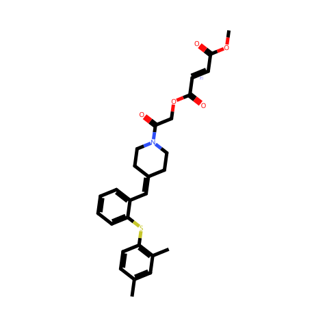 COC(=O)/C=C/C(=O)OCC(=O)N1CCC(=Cc2ccccc2Sc2ccc(C)cc2C)CC1